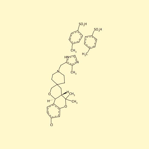 Cc1ccc(S(=O)(=O)O)cc1.Cc1ccc(S(=O)(=O)O)cc1.Cc1nc[nH]c1CN1CCC2(CC1)CO[C@@H]1c3ccc(Cl)cc3OC(C)(C)[C@H]1C2